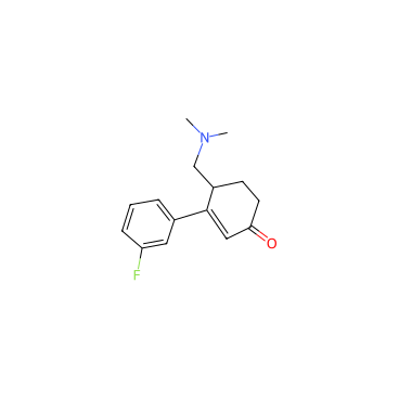 CN(C)CC1CCC(=O)C=C1c1cccc(F)c1